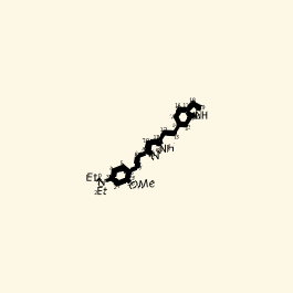 CCN(CC)c1ccc(/C=C/c2cc(/C=C/c3ccc4cc[nH]c4c3)[nH]n2)c(OC)c1